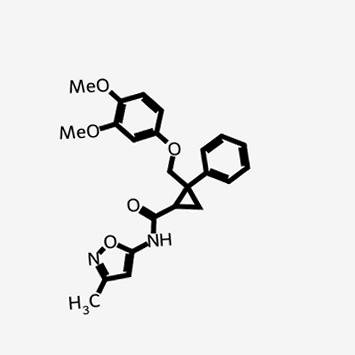 COc1ccc(OCC2(c3ccccc3)CC2C(=O)Nc2cc(C)no2)cc1OC